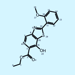 CCOC(=O)c1ncc2nc(-c3ccccc3OC)sc2c1O